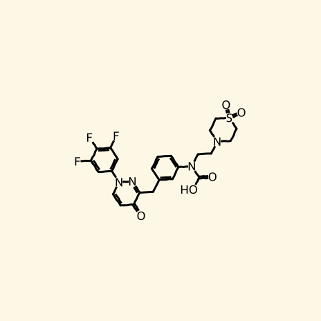 O=C(O)N(CCN1CCS(=O)(=O)CC1)c1cccc(Cc2nn(-c3cc(F)c(F)c(F)c3)ccc2=O)c1